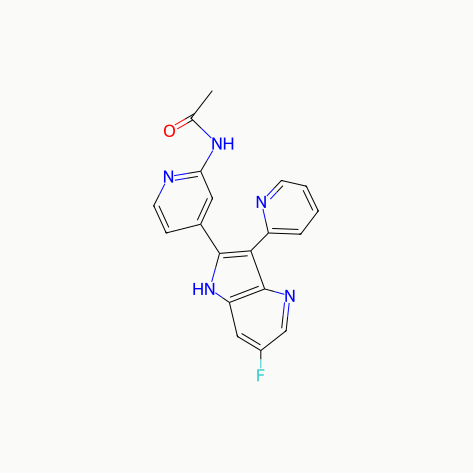 CC(=O)Nc1cc(-c2[nH]c3cc(F)cnc3c2-c2ccccn2)ccn1